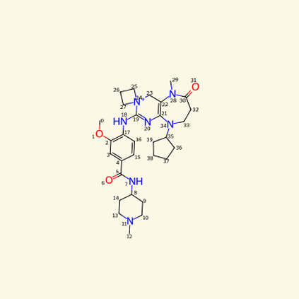 COc1cc(C(=O)NC2CCN(C)CC2)ccc1NC1=NC2=C(C[N+]13CCC3)N(C)C(=O)CCN2C1CCCC1